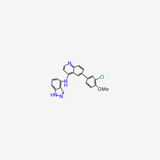 COc1ccc(-c2ccc3nccc(Nc4cccc5[nH]ncc45)c3c2)cc1Cl